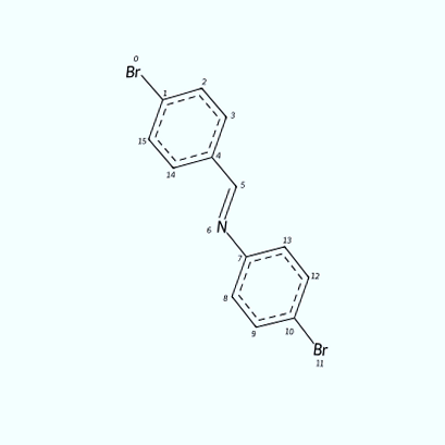 Brc1ccc(C=Nc2ccc(Br)cc2)cc1